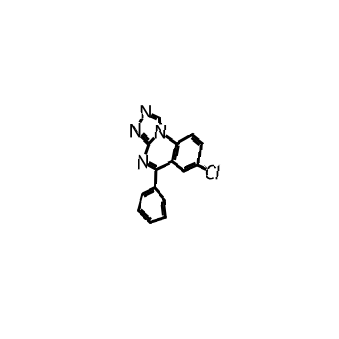 Clc1ccc2c(c1)c(-c1ccccc1)nc1nncn12